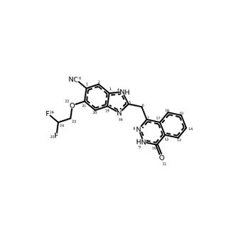 N#Cc1cc2[nH]c(Cc3n[nH]c(=O)c4ccccc34)nc2cc1OCC(F)F